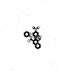 O=C(Nc1ccccc1)c1cc2ccccc2c(/C=N\c2cc([N+](=O)[O-])ccc2O)c1O